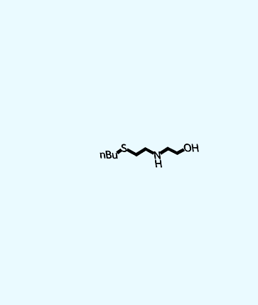 CCCCSCCNCCO